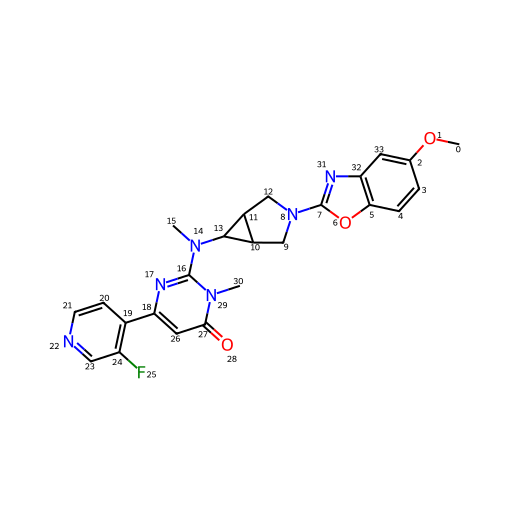 COc1ccc2oc(N3CC4C(C3)C4N(C)c3nc(-c4ccncc4F)cc(=O)n3C)nc2c1